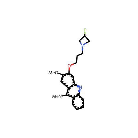 CNc1c2ccccc2nc2cc(OCCCN3CC(F)C3)c(OC)cc12